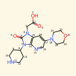 O=C(O)Cn1c(=O)n(C2CCNCC2)c2ncc(N3CCOCC3)cc21